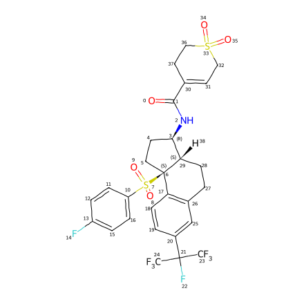 O=C(N[C@@H]1CC[C@@]2(S(=O)(=O)c3ccc(F)cc3)c3ccc(C(F)(C(F)(F)F)C(F)(F)F)cc3CC[C@@H]12)C1=CCS(=O)(=O)CC1